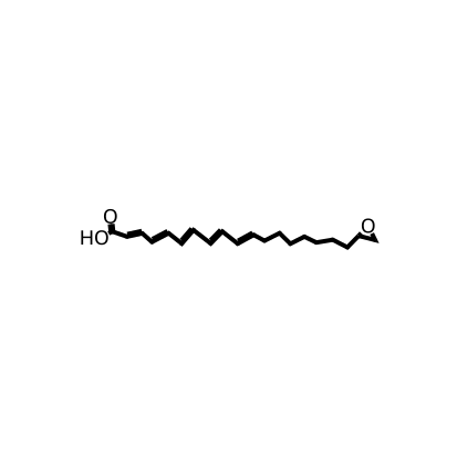 O=C(O)/C=C/C=C/C=C/C=C/C=C/CCCCCCCC1CO1